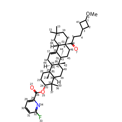 COC1CC(CCC(=O)[C@]23CCC(C)(C)C[C@H]2C2=CC[C@@H]4[C@@]5(C)CC[C@H](OC(=O)c6cccc(F)n6)C(C)(C)[C@@H]5CC[C@@]4(C)[C@]2(C)CC3)C1